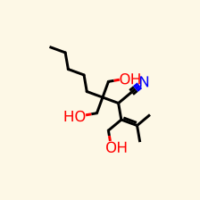 CCCCCC(CO)(CO)C(C#N)C(CO)=C(C)C